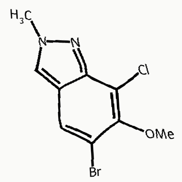 COc1c(Br)cc2cn(C)nc2c1Cl